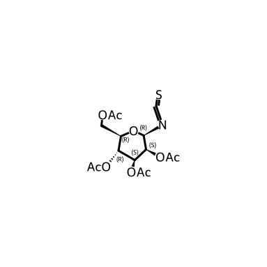 CC(=O)OC[C@H]1O[C@@H](N=C=S)[C@@H](OC(C)=O)[C@@H](OC(C)=O)[C@@H]1OC(C)=O